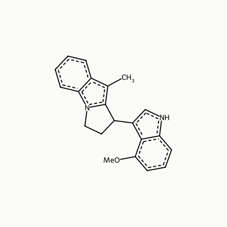 COc1cccc2[nH]cc(C3CCn4c3c(C)c3ccccc34)c12